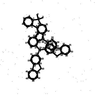 CC1(C)c2ccccc2-c2c1ccc1c2c2cccc(N(c3ccc4c(c3)Cc3ccccc3-4)c3ccc4c(c3)Cc3ccccc3-4)c2n1-c1ncccn1